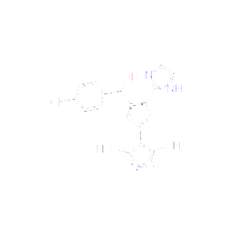 Cc1noc(C)c1-c1cc(C(O)c2ccc(Cl)cc2)c(-c2ncc[nH]2)s1